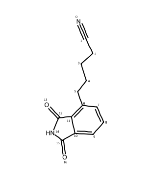 N#CCCCCc1cccc2c1C(=O)NC2=O